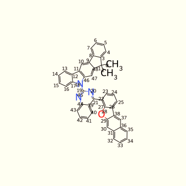 CC1(C)c2ccccc2-c2cc3c4ccccc4n(-c4nc(-c5cccc6c5oc5cc7ccccc7cc56)c5ccccc5n4)c3cc21